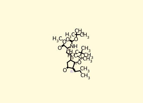 COC(=O)[C@H](CSC1CC(=O)/C(=C/C(C)C)[C@@H]1O[Si](C)(C)C(C)(C)C)NC(=O)OC(C)(C)C